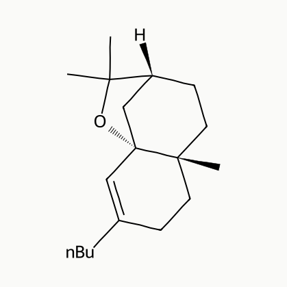 CCCCC1=C[C@@]23C[C@@H](CC[C@]2(C)CC1)C(C)(C)O3